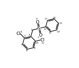 O=S(=O)(Cc1c(Cl)cccc1Cl)c1cc[c]cc1